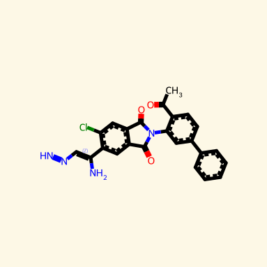 CC(=O)c1ccc(-c2ccccc2)cc1N1C(=O)c2cc(Cl)c(/C(N)=C/N=N)cc2C1=O